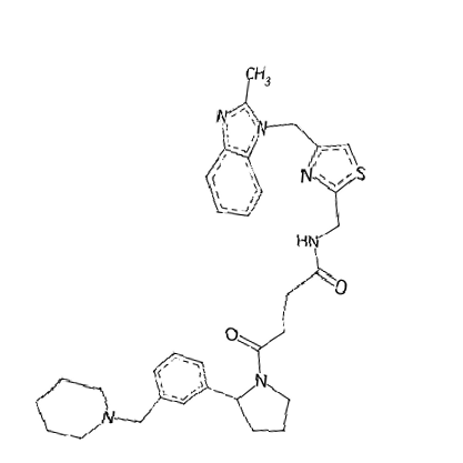 Cc1nc2ccccc2n1Cc1csc(CNC(=O)CCC(=O)N2CCCC2c2cccc(CN3CCCCC3)c2)n1